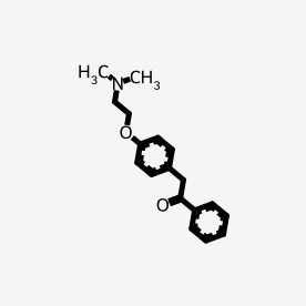 CN(C)CCOc1ccc(CC(=O)c2ccccc2)cc1